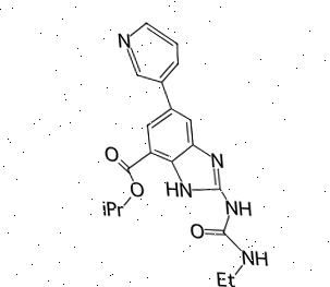 CCNC(=O)Nc1nc2cc(-c3cccnc3)cc(C(=O)OC(C)C)c2[nH]1